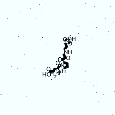 NN[C@@H](CCC(=O)O)C(=O)N1CCC[C@H]1C(=O)C(=O)CNCCCS(=O)(=O)O